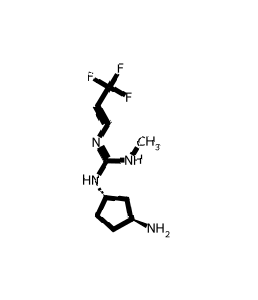 CN/C(=N\C=C\C(F)(F)F)N[C@H]1CC[C@H](N)C1